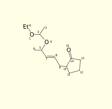 CCOC(C)OC(C)C=CCC1CCCC1=O